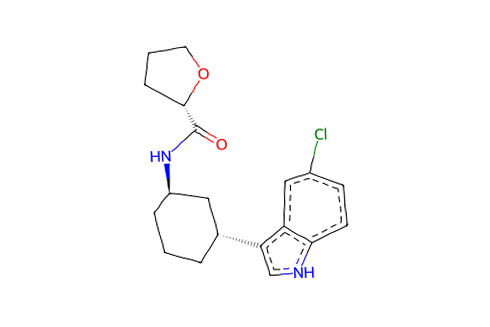 O=C(N[C@@H]1CCC[C@@H](c2c[nH]c3ccc(Cl)cc23)C1)[C@@H]1CCCO1